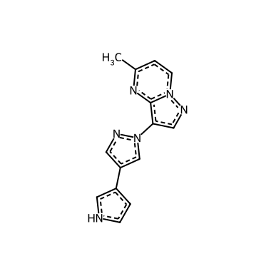 Cc1ccn2ncc(-n3cc(-c4cc[nH]c4)cn3)c2n1